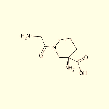 NCC(=O)N1CCC[C@](N)(C(=O)O)C1